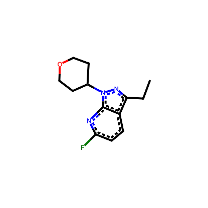 CCc1nn(C2CCOCC2)c2nc(F)ccc12